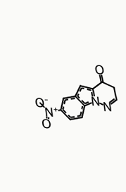 O=C1CC=Nn2c1cc1cc([N+](=O)[O-])ccc12